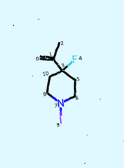 C=C(C)C1(F)CCN(I)CC1